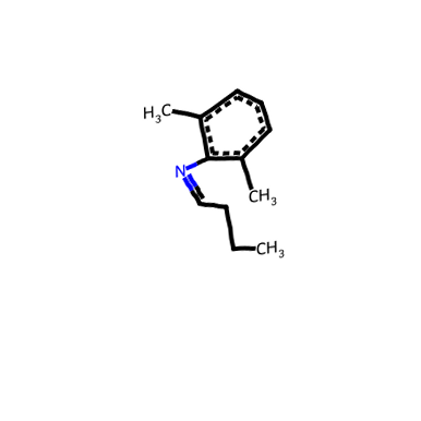 CCC/C=N\c1c(C)cccc1C